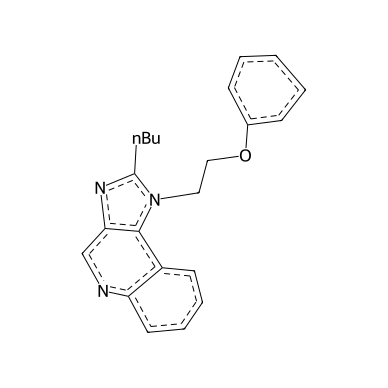 CCCCc1nc2cnc3ccccc3c2n1CCOc1ccccc1